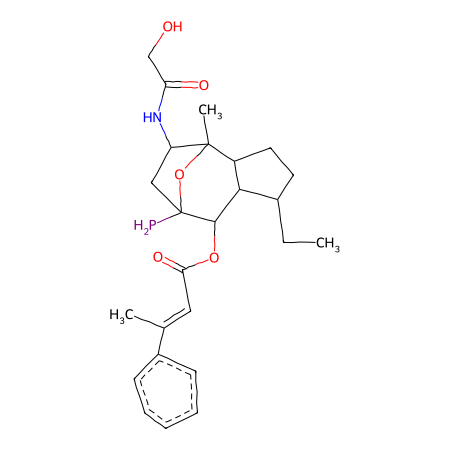 CCC1CCC2C1C(OC(=O)/C=C(\C)c1ccccc1)C1(P)CC(NC(=O)CO)C2(C)O1